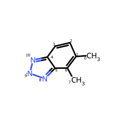 Cc1ccc2c(c1C)=N[N]N=2